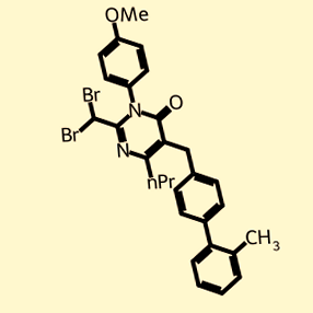 CCCc1nc(C(Br)Br)n(-c2ccc(OC)cc2)c(=O)c1Cc1ccc(-c2ccccc2C)cc1